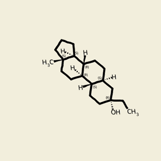 CC[C@@]1(O)CC[C@H]2[C@@H](CC[C@@H]3[C@@H]2CC[C@]2(C)CCC[C@@H]32)C1